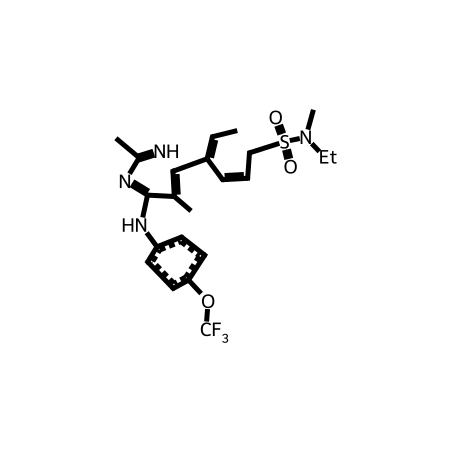 C/C=C(\C=C/CS(=O)(=O)N(C)CC)/C=C(C)/C(=N\C(C)=N)Nc1ccc(OC(F)(F)F)cc1